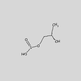 CC(O)COS(=O)O